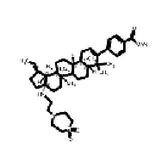 C/C=C1\CC[C@]2(NCCN3CCS(=O)(=O)CC3)CC[C@]3(C)[C@H](CC[C@@H]4[C@@]5(C)CC=C(c6ccc(C(=O)OC)cc6)C(C)(C)[C@@H]5CC[C@]43C)[C@@H]12